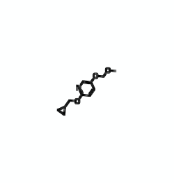 COCOc1ccc(OCC2CC2)nc1